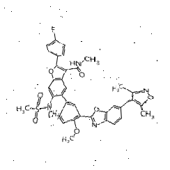 CNC(=O)c1c(-c2ccc(F)cc2)oc2cc(N(C)S(C)(=O)=O)c(-c3ccc(OC)c(-c4nc5ccc(-c6c(C)noc6C)cc5o4)c3)cc12